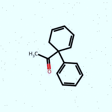 CC(=O)C1(c2ccccc2)C=CC=CC1